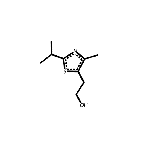 Cc1nc(C(C)C)sc1CCO